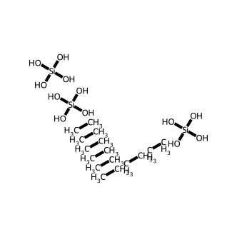 CC.CC.CC.CC.CC.CC.CC.CC.O[Si](O)(O)O.O[Si](O)(O)O.O[Si](O)(O)O